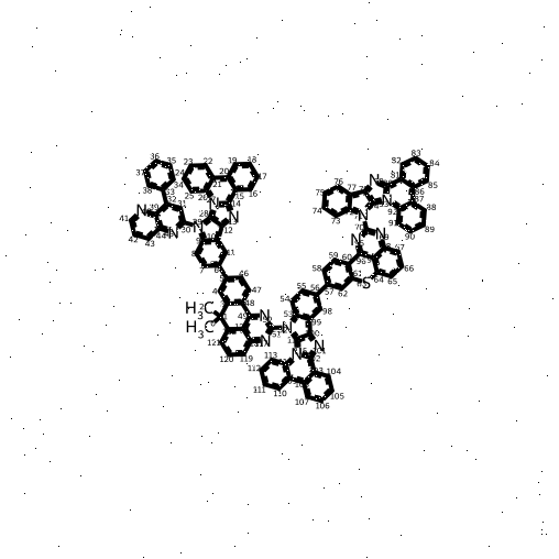 CC1(C)c2cc(-c3ccc4c(c3)c3nc5c6ccccc6c6ccccc6n5c3n4-c3cc(-c4ccccc4)c4ncccc4n3)ccc2-c2nc(-n3c4ccc(-c5ccc6c(c5)Sc5cccc7nc(-n8c9ccccc9c9nc%10c%11ccccc%11c%11ccccc%11n%10c98)nc-6c57)cc4c4nc5c6ccccc6c6ccccc6n5c43)nc3cccc1c23